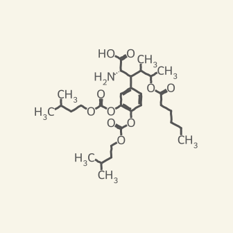 CCCCCC(=O)OC(C)C(C)C(c1ccc(OC(=O)OCCC(C)C)c(OC(=O)OCCC(C)C)c1)[C@H](N)C(=O)O